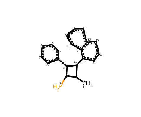 CC1C(P)C(c2ccccc2)C1c1cccc2ccccc12